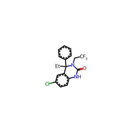 CCC1(c2ccccc2)c2cc(Cl)ccc2NC(=O)N1CC(F)(F)F